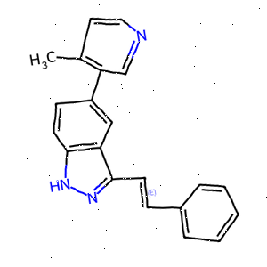 Cc1ccncc1-c1ccc2[nH]nc(/C=C/c3ccccc3)c2c1